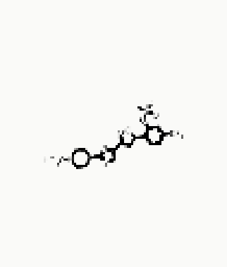 CS(=O)(=O)Oc1cc(C(F)(F)F)ccc1C1CC(c2csc(C3CCN(C(=O)O)CC3)n2)=NO1